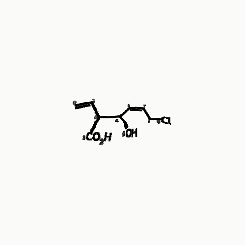 C=CC(C(=O)O)[C@H](O)/C=C\CCl